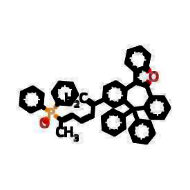 C=C(/C=C\C=C(/C)P(=O)(c1ccccc1)c1ccccc1)c1ccc2c(c1)C(c1ccccc1)(c1ccccc1)c1ccccc1-c1oc3ccccc3c1-2